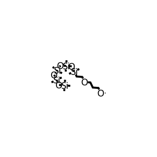 C[Si](C)(C)O[Si](C)(C)O[Si](C)(C)O[Si](C)(C)O[Si](C)(C)CCOCCC[O]